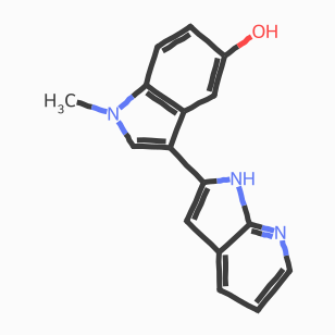 Cn1cc(-c2cc3cccnc3[nH]2)c2cc(O)ccc21